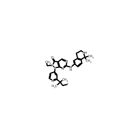 CCn1c(=O)c2cnc(Nc3ccc4c(c3)CCNC4(C)C)nc2n1-c1ccnc(C(C)(C)CF)c1